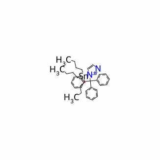 CCC[CH2][Sn]([CH2]CCC)([CH2]CCC)[N+]1(C(c2ccccc2)(c2ccccc2)c2ccccc2)C=CN=C1